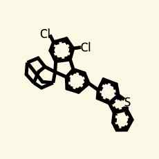 Clc1cc(Cl)c2c(c1)C1(c3ccc(-c4ccc5sc6ccccc6c5c4)cc3-2)C2CC3CC(C2)CC1C3